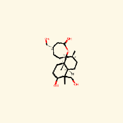 C[C@H]1CC[C@H]2C(C)(CO)C(O)CC[C@]2(C)[C@@]12CC[C@H](CO)CC(O)O2